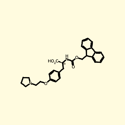 O=C(N[C@@H](Cc1ccc(OCCN2CCCC2)cc1)C(=O)O)OCC1c2ccccc2-c2ccccc21